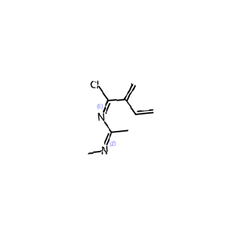 C=CC(=C)/C(Cl)=N\C(C)=N/C